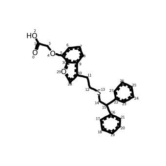 O=C(O)COc1cccc2c(CCSCC(c3ccccc3)c3ccccc3)coc12